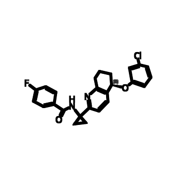 O=C(NC1(c2ccc3c(n2)CCC[C@H]3Oc2cccc(Cl)c2)CC1)c1ccc(F)cc1